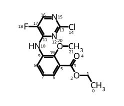 CCOC(=O)c1cccc(Nc2nc(Cl)ncc2F)c1OC